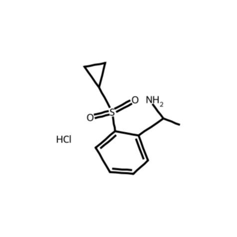 CC(N)c1ccccc1S(=O)(=O)C1CC1.Cl